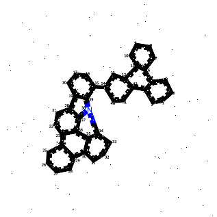 c1ccc2c(c1)c1ccccc1c1cc(-c3cccc4c5ccc6c7ccccc7c7cccc8c7c6c5n8c34)ccc21